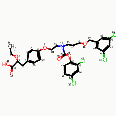 CCOC(Cc1ccc(OCCN(CCCOCc2cc(Cl)cc(Cl)c2)C(=O)Oc2ccc(Cl)cc2Cl)cc1)C(=O)O